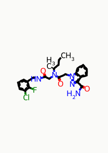 CCC[C@H](C)N(CC(=O)NCc1cccc(Cl)c1F)C(=O)Cn1nc(C(N)=O)c2ccccc21